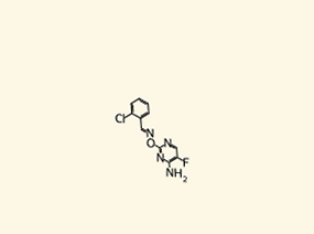 Nc1nc(ON=Cc2ccccc2Cl)ncc1F